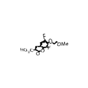 COCCOc1c(F)cc2cc(C(=O)O)c(=O)oc2c1F